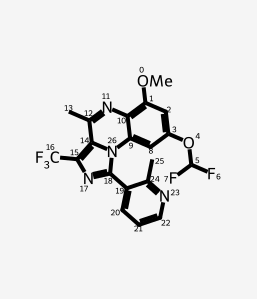 COc1cc(OC(F)F)cc2c1nc(C)c1c(C(F)(F)F)nc(-c3cccnc3C)n12